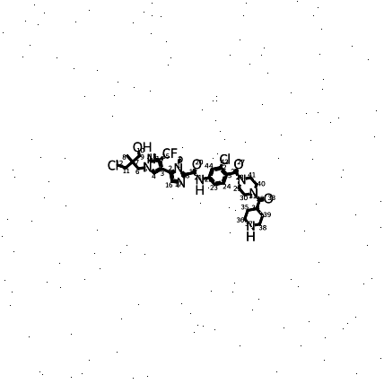 Cn1c(-c2cn(CC(C)(CO)CCl)nc2C(F)(F)F)cnc1C(=O)Nc1ccc(C(=O)N2CCN(C(=O)C3CCNCC3)CC2)c(Cl)c1